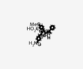 COc1ccc(CN(C(=O)[C@@H](N)Cc2ccc(C(N)=O)cc2)[C@@H](C)c2nc(-c3ccccc3)c[nH]2)cc1C(=O)O